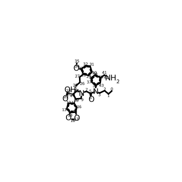 CCCCN(C(=O)CN1C[C@H](c2ccc3c(c2)OCO3)[C@@H](C(=O)O)[C@@H]1CCCc1ccccc1OC)c1cccc(CN)c1